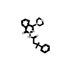 CC(C)(CC(=O)Nn1nc(N2CCOCC2)c2ccccc2c1=O)c1ccccc1